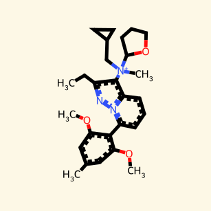 CCc1nn2c(-c3c(OC)cc(C)cc3OC)cccc2c1[N+](C)(CC1CC1)C1CCCO1